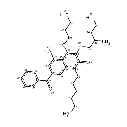 CCCCCCn1c(=O)c(OCC(C)CCC)c(OCCCC)c2c(N)cc(C(=O)c3ccccc3)cc21